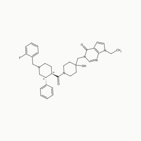 CCn1ccc2c(=O)n(CC3(O)CCN(C(=O)[C@@H]4CCN(Cc5ccccc5F)C[C@H]4c4ccccc4)CC3)cnc21